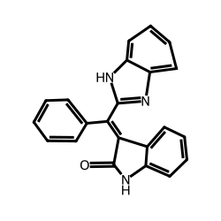 O=C1Nc2ccccc2C1=C(c1ccccc1)c1nc2ccccc2[nH]1